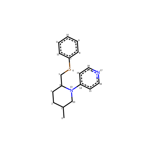 CC1CCC(CSc2ccccc2)N(c2ccncc2)C1